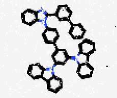 c1ccc(-c2cccc(-c3nc4ccccc4n3-c3ccc(-c4cc(-n5c6ccccc6c6ccccc65)cc(-n5c6ccccc6c6ccccc65)c4)cc3)c2)cc1